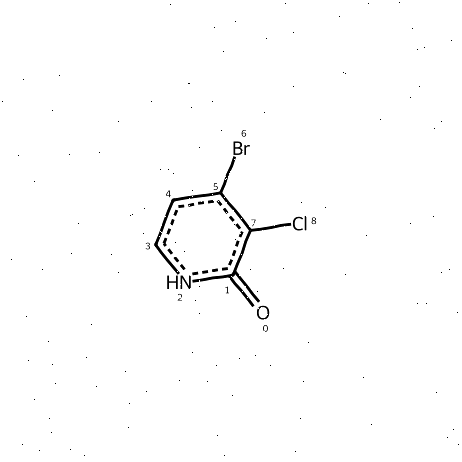 O=c1[nH]ccc(Br)c1Cl